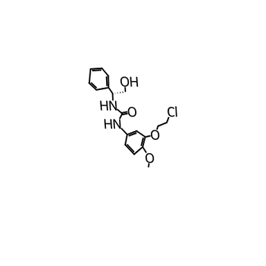 COc1ccc(NC(=O)N[C@@H](CO)c2ccccc2)cc1OCCCl